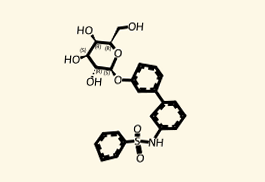 O=S(=O)(Nc1cccc(-c2cccc(O[C@@H]3O[C@H](CO)[C@H](O)[C@H](O)[C@H]3O)c2)c1)c1ccccc1